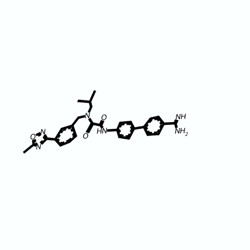 Cc1nc(-c2cccc(CN(CC(C)C)C(=O)C(=O)Nc3ccc(-c4ccc(C(=N)N)cc4)cc3)c2)no1